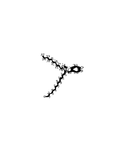 CCCCCCCCCCCCCCc1n(Cc2ccccc2)cc[n+]1CCCCCCCCCC